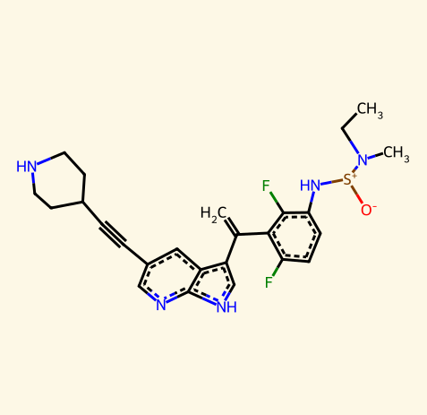 C=C(c1c(F)ccc(N[S+]([O-])N(C)CC)c1F)c1c[nH]c2ncc(C#CC3CCNCC3)cc12